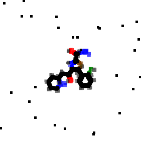 NC(=O)c1nc(C(=O)[CH]C2CCCCN2)c(-c2ccccc2F)s1